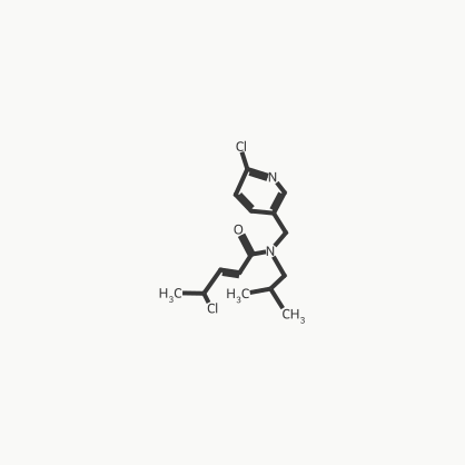 CC(Cl)/C=C/C(=O)N(Cc1ccc(Cl)nc1)CC(C)C